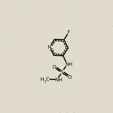 CNS(=O)(=O)Nc1cncc(F)c1